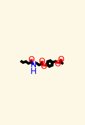 CCCCC(=O)NCCC(=O)Oc1ccc(COC(C)=O)cc1